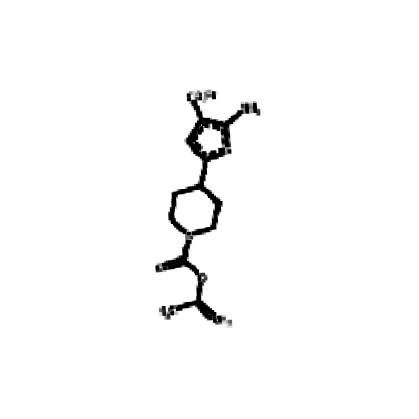 C=C(C)OC(=O)N1CCC(c2cc(C(=O)OCC)c(N)s2)CC1